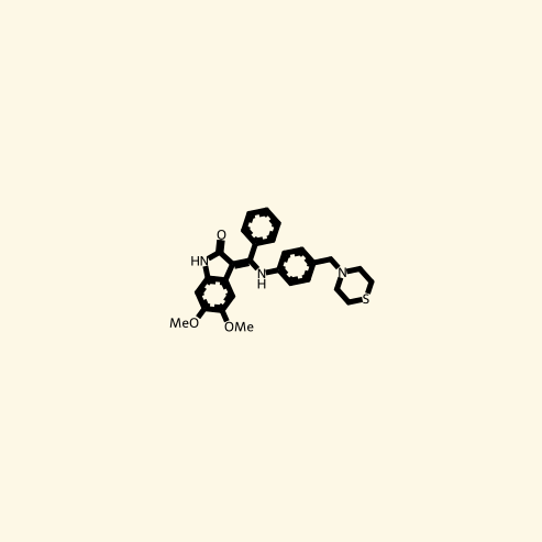 COc1cc2c(cc1OC)C(=C(Nc1ccc(CN3CCSCC3)cc1)c1ccccc1)C(=O)N2